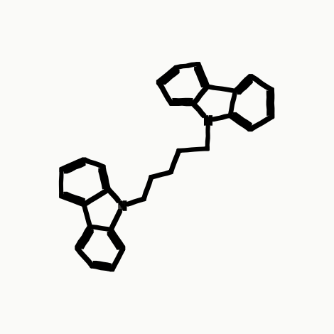 c1ccc2c(c1)c1ccccc1n2CCCCCn1c2ccccc2c2ccccc21